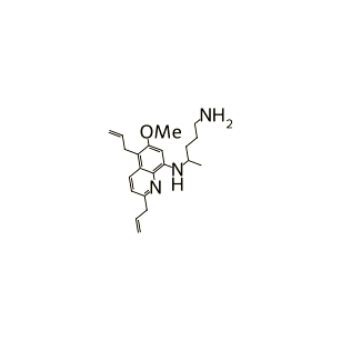 C=CCc1ccc2c(CC=C)c(OC)cc(NC(C)CCCN)c2n1